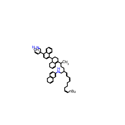 C/C=C\C(CN)c1ccc(C2CCC(C(C)CCC(/C=C/C=C\CCC/C=C\CCCC)CNc3ccc4c(c3)C=CCC4)=C3C=CCCC32)c2ccccc12